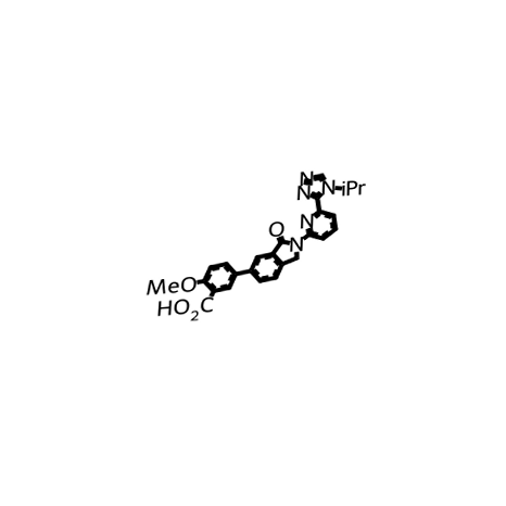 COc1ccc(-c2ccc3c(c2)C(=O)N(c2cccc(-c4nncn4C(C)C)n2)C3)cc1C(=O)O